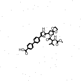 COC(=O)NC(C(=O)N1CC2(CC1c1nc(-c3ccc(-c4ccc(C(=O)O)cc4)cc3)c[nH]1)OCCO2)C(C)C